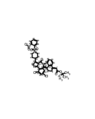 CC(C)(C)OC(=O)/C=C1\CCc2cn(C(=O)c3c(-c4c(Cl)cc(Cl)cc4Cl)noc3C3CCN(S(=O)(=O)c4ccccc4[N+](=O)[O-])CC3)c3cccc1c23